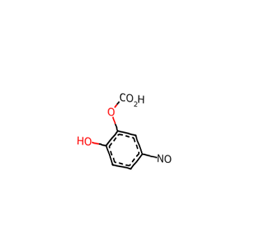 O=Nc1ccc(O)c(OC(=O)O)c1